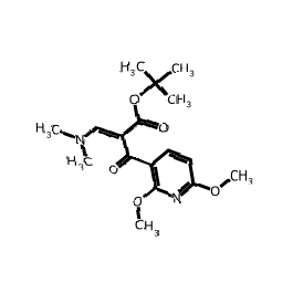 COc1ccc(C(=O)/C(=C\N(C)C)C(=O)OC(C)(C)C)c(OC)n1